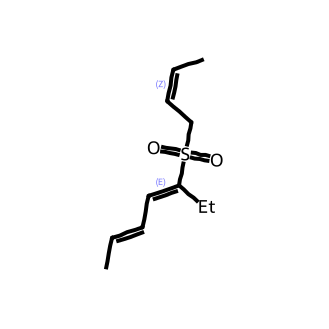 CC=C/C=C(\CC)S(=O)(=O)C/C=C\C